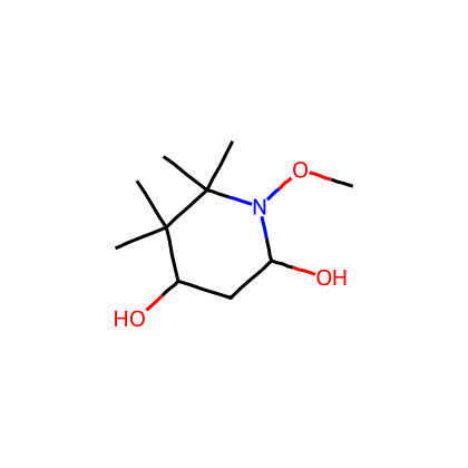 CON1C(O)CC(O)C(C)(C)C1(C)C